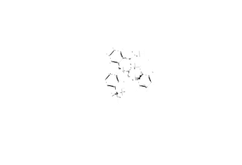 NC1c2ccccc2N(c2cccc(C(F)(F)F)c2)C(N)N1Cc1ccccc1